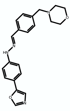 C(=N\Nc1ccc(-c2cnco2)cc1)/c1ccc(CN2CCOCC2)cc1